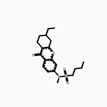 CCCCS(=O)(=O)N(C)c1ccc2c(=O)c3c(sc2c1)CC(CC)CC3